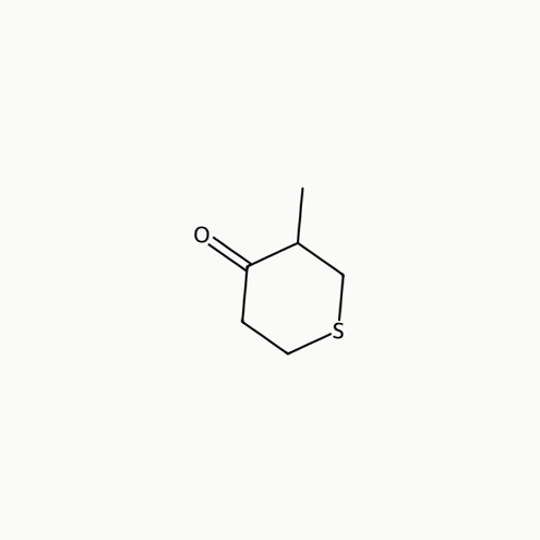 CC1CSCCC1=O